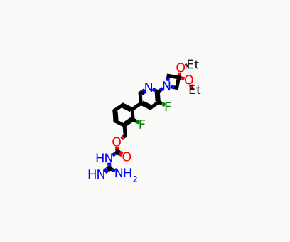 CCOC1(OCC)CN(c2ncc(-c3cccc(COC(=O)NC(=N)N)c3F)cc2F)C1